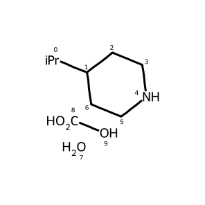 CC(C)C1CCNCC1.O.O=C(O)O